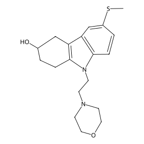 CSc1ccc2c(c1)c1c(n2CCN2CCOCC2)CCC(O)C1